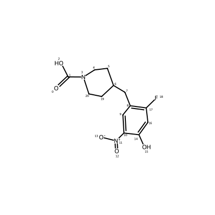 O=C(O)N1CCC(Cc2cc([N+](=O)[O-])c(O)cc2F)CC1